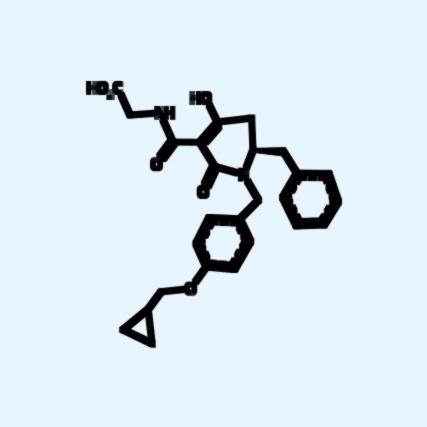 O=C(O)CNC(=O)C1=C(O)C[C@@H](Cc2ccccc2)N(Cc2ccc(OCC3CC3)cc2)C1=O